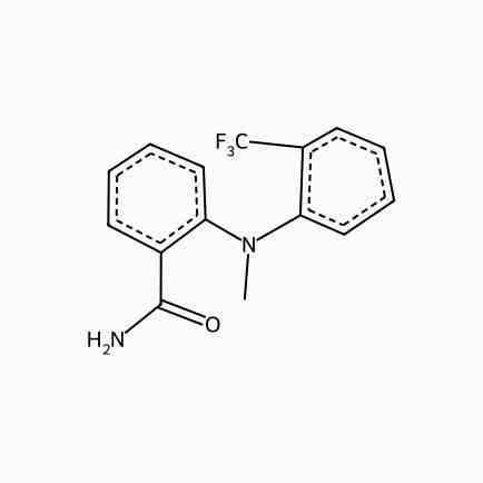 CN(c1ccccc1C(N)=O)c1ccccc1C(F)(F)F